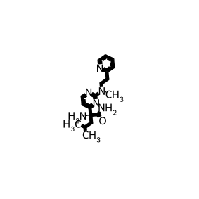 CC(C)C[C@](N)(C(N)=O)c1ccnc(N(C)CCc2ccccn2)n1